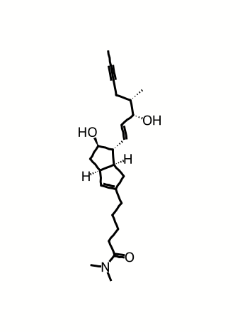 CC#CC[C@H](C)[C@H](O)/C=C/[C@@H]1[C@H]2CC(CCCCC(=O)N(C)C)=C[C@H]2C[C@H]1O